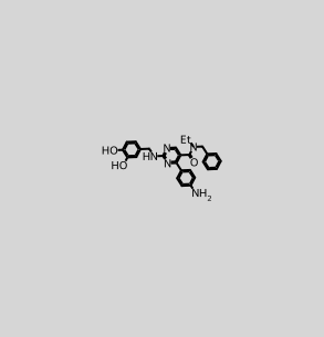 CCN(Cc1ccccc1)C(=O)c1cnc(NCc2ccc(O)c(O)c2)nc1-c1ccc(N)cc1